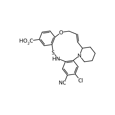 N#Cc1cc2c(cc1Cl)N1CCCCC1/C=C/COc1ccc(C(=O)O)cc1SN2